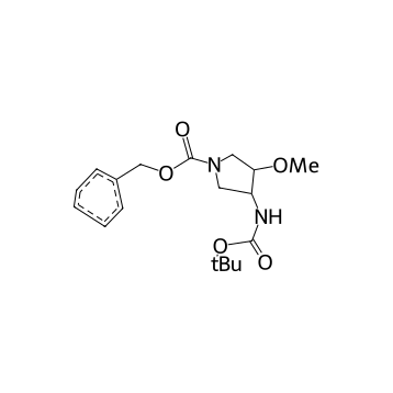 COC1CN(C(=O)OCc2ccccc2)CC1NC(=O)OC(C)(C)C